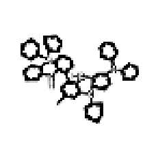 Cc1cc(-c2cccc3c2Nc2ccccc2[Si]3(c2ccccc2)c2ccccc2)c2c(c1)N(c1ccccc1)c1ccc(N(c3ccccc3)c3ccccc3)cc1B2